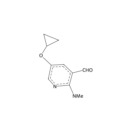 CNc1ncc(OC2CC2)cc1C=O